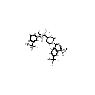 C[C@@H](C1CCN(C(=O)c2ncc(C(F)(F)F)cc2S(C)(=O)=O)CC1)S(=O)(=O)c1cccc(C(F)(F)F)c1